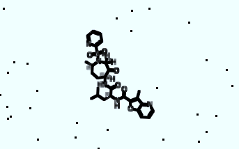 [2H]C1([2H])C(=O)[C@@]([2H])(NC(=O)[C@H](CC(C)C)NC(=O)c2oc3cccnc3c2C)CC[C@@H](C)N1S(=O)(=O)c1ccccn1